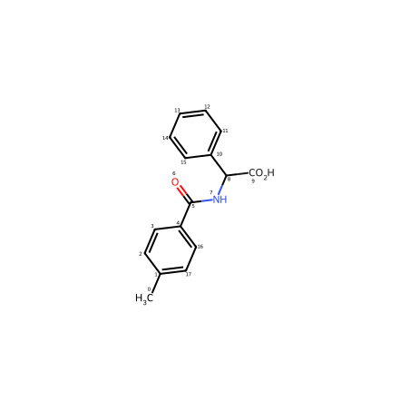 Cc1ccc(C(=O)NC(C(=O)O)c2ccccc2)cc1